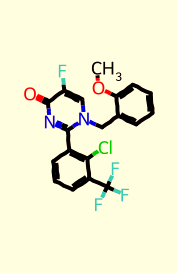 COc1ccccc1Cn1cc(F)c(=O)nc1-c1cccc(C(F)(F)F)c1Cl